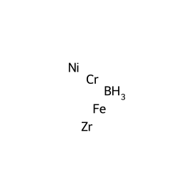 B.[Cr].[Fe].[Ni].[Zr]